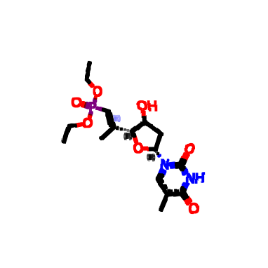 CCOP(=O)(/C=C(\C)[C@H]1O[C@@H](n2cc(C)c(=O)[nH]c2=O)CC1O)OCC